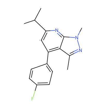 Cc1nn(C)c2nc(C(C)C)[c]c(-c3ccc(F)cc3)c12